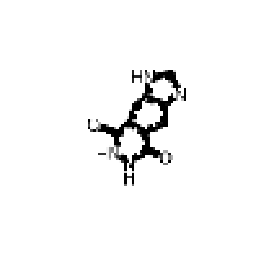 O=c1[nH][nH]c(=O)c2cc3[nH]cnc3cc12